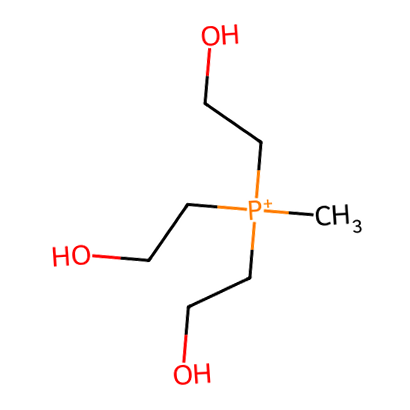 C[P+](CCO)(CCO)CCO